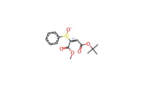 COC(=O)/C(=C\C(=O)OC(C)(C)C)[S+]([O-])c1ccccc1